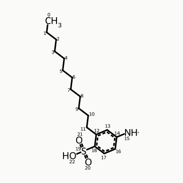 CCCCCCCCCCCCc1cc([NH])ccc1S(=O)(=O)O